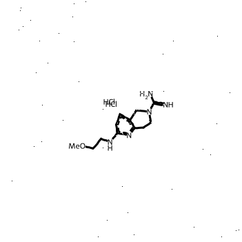 COCCNc1ccc2c(n1)CCN(C(=N)N)C2.Cl.Cl